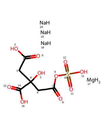 O=C(O)CC(O)(CC(=O)OS(=O)(=O)O)C(=O)O.[MgH2].[NaH].[NaH].[NaH]